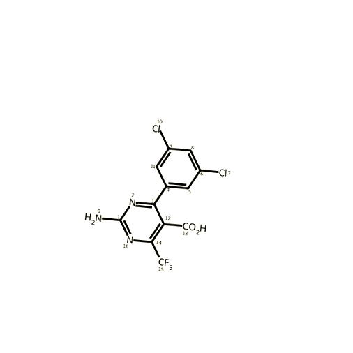 Nc1nc(-c2cc(Cl)cc(Cl)c2)c(C(=O)O)c(C(F)(F)F)n1